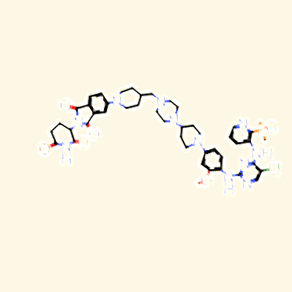 COc1cc(N2CCC(N3CCN(CC4CCN(c5ccc6c(c5)C(=O)N(C5CCC(=O)NC5=O)C6=O)CC4)CC3)CC2)ccc1Nc1ncc(Cl)c(Nc2cccnc2P(C)(C)=O)n1